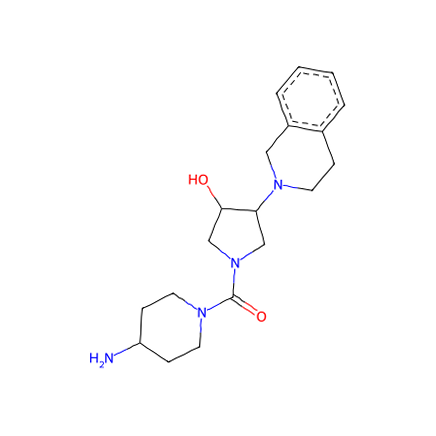 NC1CCN(C(=O)N2CC(O)C(N3CCc4ccccc4C3)C2)CC1